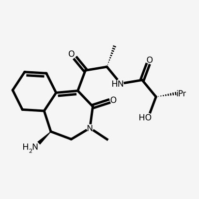 CC(C)[C@H](O)C(=O)N[C@@H](C)C(=O)C1=C2C=CCCC2[C@H](N)CN(C)C1=O